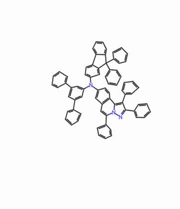 c1ccc(-c2cc(-c3ccccc3)cc(N(c3ccc4c(c3)C(c3ccccc3)(c3ccccc3)c3ccccc3-4)c3ccc4c(c3)cc(-c3ccccc3)n3nc(-c5ccccc5)c(-c5ccccc5)c43)c2)cc1